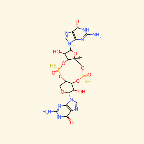 Nc1nc2c(ncn2C2O[C@@H]3CO[P@@](=O)(S)OC4C(CO[C@@H](n5cnc6c(=O)[nH]c(N)nc65)C4O)O[P@](=O)(S)OC3C2O)c(=O)[nH]1